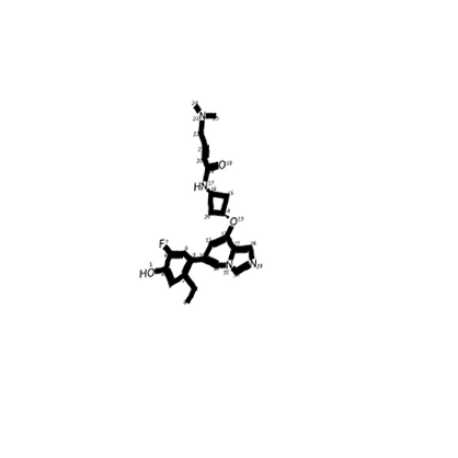 CCc1cc(O)c(F)cc1-c1cc(O[C@H]2C[C@H](NC(=O)/C=C/CN(C)C)C2)c2cncn2c1